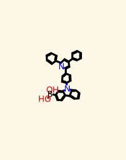 OB(O)c1ccc2c3ccccc3n(-c3ccc(-c4cc(-c5ccccc5)cc(-c5ccccc5)n4)cc3)c2c1